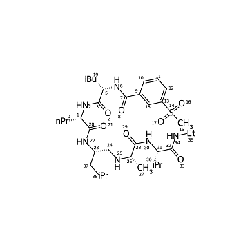 CCC[C@H](NC(=O)[C@@H](NC(=O)c1cccc(S(C)(=O)=O)c1)[C@@H](C)CC)C(=O)N[C@H](CN[C@@H](C)C(=O)N[C@H](C(=O)NCC)C(C)C)CC(C)C